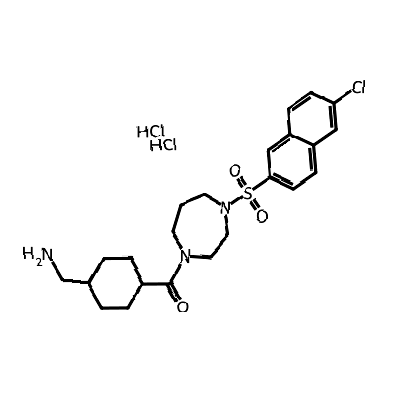 Cl.Cl.NCC1CCC(C(=O)N2CCCN(S(=O)(=O)c3ccc4cc(Cl)ccc4c3)CC2)CC1